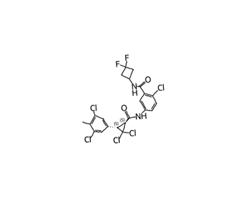 Cc1c(Cl)cc([C@@H]2[C@@H](C(=O)Nc3ccc(Cl)c(C(=O)NC4CC(F)(F)C4)c3)C2(Cl)Cl)cc1Cl